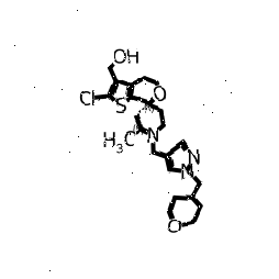 C[C@H]1C[C@@]2(CCN1Cc1cnn(CC3CCOCC3)c1)OCCc1c2sc(Cl)c1CO